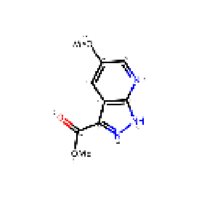 COC(=O)c1n[nH]c2ncc(OC)cc12